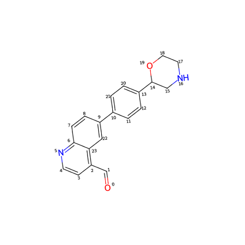 O=Cc1ccnc2ccc(-c3ccc(C4CNCCO4)cc3)cc12